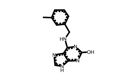 Cc1cccc(CNc2nc(O)nc3[nH]cnc23)c1